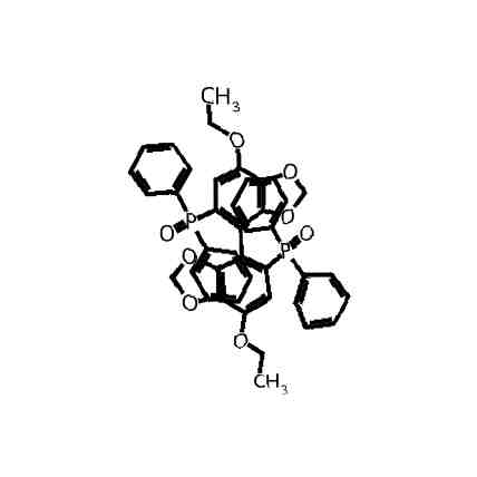 CCOc1cc(P(=O)(c2ccccc2)c2ccccc2)c(-c2c(P(=O)(c3ccccc3)c3ccccc3)cc(OCC)c3c2OCO3)c2c1OCO2